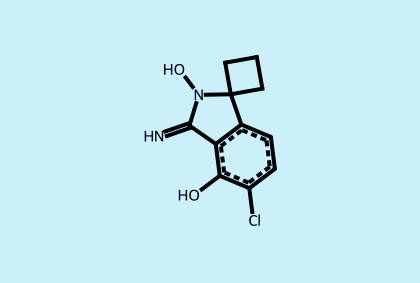 N=C1c2c(ccc(Cl)c2O)C2(CCC2)N1O